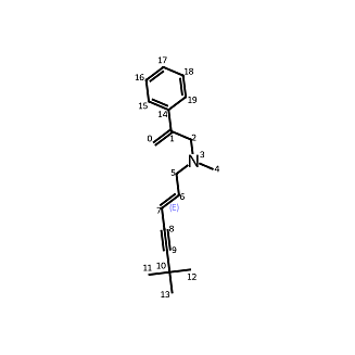 C=C(CN(C)C/C=C/C#CC(C)(C)C)c1ccccc1